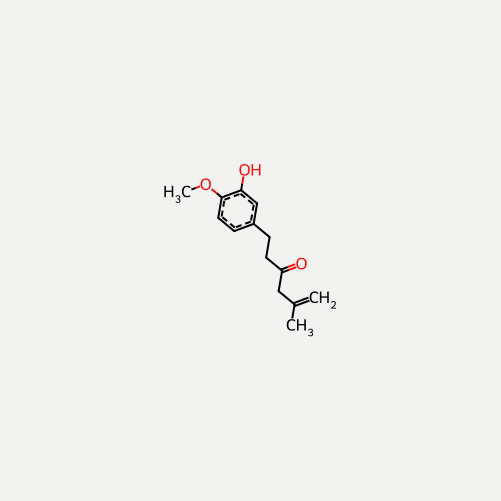 C=C(C)CC(=O)CCc1ccc(OC)c(O)c1